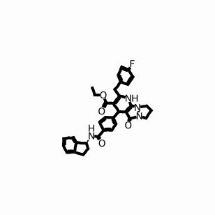 CCOC(=O)C1=C(Cc2ccc(F)cc2)Nc2c(c(=O)n3n2CCC3)C1c1ccc(C(=O)N[C@@H]2CCc3ccccc32)cc1